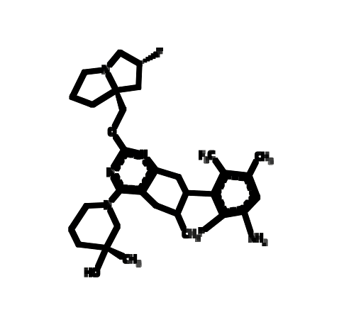 Cc1cc(N)c(F)c(C2Cc3nc(OC[C@@]45CCCN4C[C@H](F)C5)nc(N4CCC[C@@](C)(O)C4)c3CC2C)c1C(F)(F)F